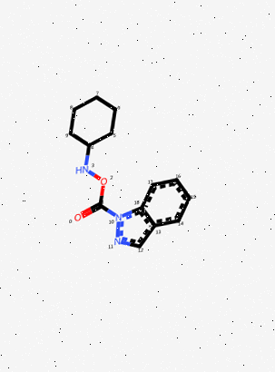 O=C(ONC1CCCCC1)n1ncc2ccccc21